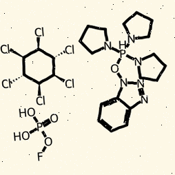 Cl[C@H]1[C@H](Cl)[C@@H](Cl)[C@@H](Cl)[C@H](Cl)[C@H]1Cl.O=P(O)(O)OF.c1ccc2c(c1)nnn2O[PH](N1CCCC1)(N1CCCC1)N1CCCC1